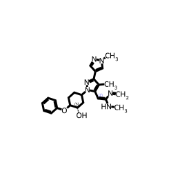 C=N/C(=C\c1c(C)c(-c2cnn(C)c2)nn1C1CCC(Oc2ccccc2)[C@@H](O)C1)NC